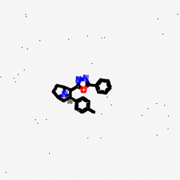 Cc1ccc([C@H]2CC3CCC(C2c2nnc(-c4ccccc4)o2)N3C)cc1